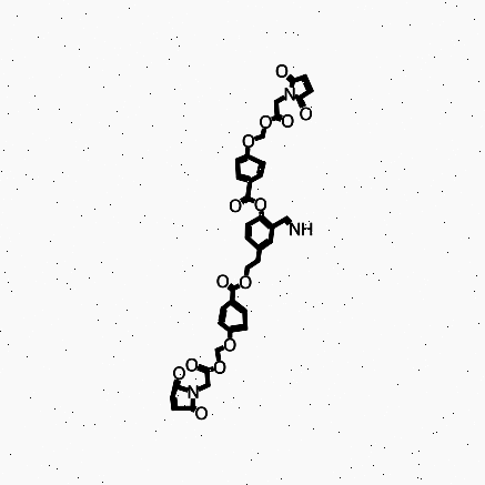 N=Cc1cc(CCOC(=O)c2ccc(OCOC(=O)CN3C(=O)C=CC3=O)cc2)ccc1OC(=O)c1ccc(OCOC(=O)CN2C(=O)C=CC2=O)cc1